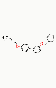 CCCCOc1ccc(-c2[c]ccc(OCc3ccccc3)c2)cc1